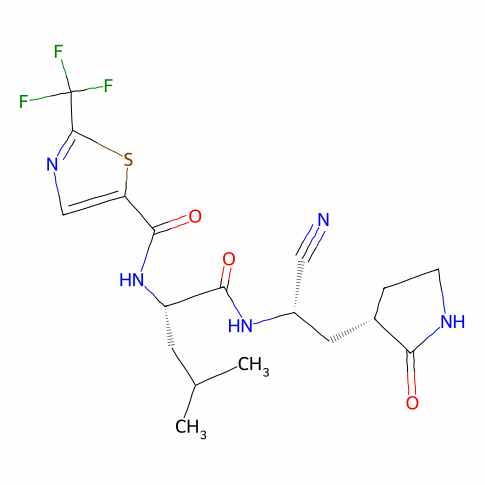 CC(C)C[C@H](NC(=O)c1cnc(C(F)(F)F)s1)C(=O)N[C@H](C#N)C[C@@H]1CCNC1=O